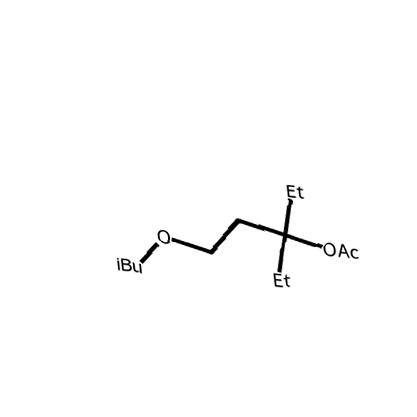 CCC(C)OCCC(CC)(CC)OC(C)=O